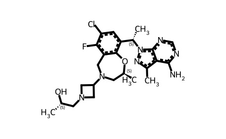 Cc1nn([C@@H](C)c2cc(Cl)c(F)c3c2O[C@@H](C)CN(C2CN(C[C@H](C)O)C2)C3)c2ncnc(N)c12